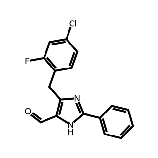 O=Cc1[nH]c(-c2ccccc2)nc1Cc1ccc(Cl)cc1F